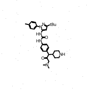 Cc1ccc(-n2nc(C(C)(C)C)cc2NC(=O)Nc2ccc(C(C(=O)CN(C)C)C3CCNCC3)cc2)cc1